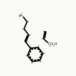 C=CC(=O)O.CC(C)CCC=Cc1ccccc1